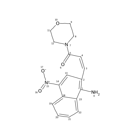 Nc1c(/C=C\C(=O)N2CCOCC2)cc([N+](=O)[O-])c2ccccc12